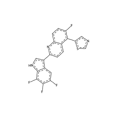 Fc1cc2c(-c3ccc4c(-c5cncs5)c(F)ccc4n3)c[nH]c2c(F)c1F